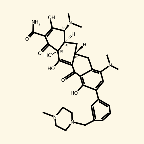 CN1CCN(Cc2cccc(-c3cc(N(C)C)c4c(c3O)C(=O)C3=C(O)[C@@]5(O)C(=O)C(C(N)=O)=C(O)[C@@H](N(C)C)[C@H]5C[C@@H]3C4)c2)CC1